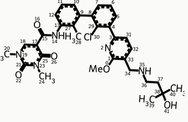 COc1nc(-c2cccc(-c3cccc(NC(=O)c4cn(C)c(=O)n(C)c4=O)c3C)c2Cl)ccc1CNCCC(C)(C)O